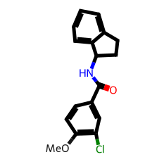 COc1ccc(C(=O)NC2CCc3ccccc32)cc1Cl